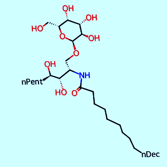 CCCCCCCCCCCCCCCCCCC(=O)N[C@@H](CO[C@H]1O[C@H](CO)[C@H](O)[C@H](O)[C@H]1O)[C@H](O)[C@H](O)CCCCC